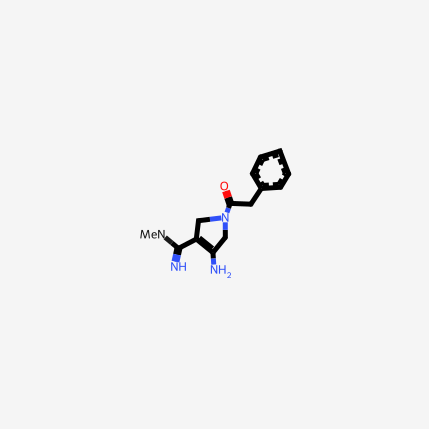 CNC(=N)C1=C(N)CN(C(=O)Cc2ccccc2)C1